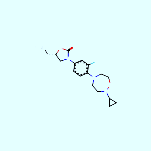 CC(=O)NC[C@H]1CN(c2ccc(N3CCON(C4CC4)CC3)c(F)c2)C(=O)O1